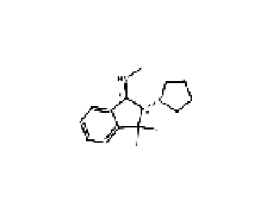 CN[C@@H]1c2ccccc2C(C)(C)[C@H]1N1CCCC1